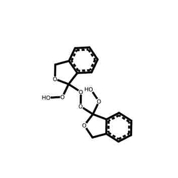 OOC1(OOC2(OO)OCc3ccccc32)OCc2ccccc21